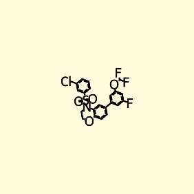 O=S(=O)(c1cccc(Cl)c1)N1CCOc2ccc(-c3cc(F)cc(OC(F)F)c3)cc21